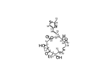 CC[C@H]1C(=O)C(C)(C)[C@@H](O)CC(=O)O[C@H](C(C)=Cc2csc(C)n2)C[C@@H]2O[C@]2(C)CC/C=C(\C)[C@@H]1O